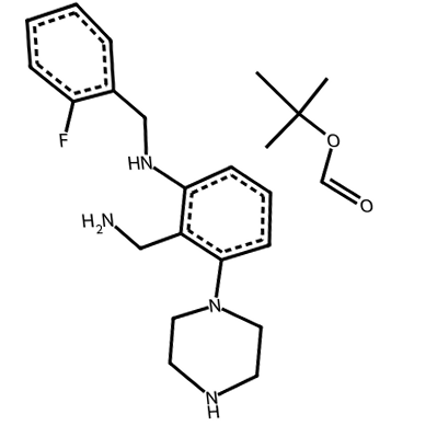 CC(C)(C)OC=O.NCc1c(NCc2ccccc2F)cccc1N1CCNCC1